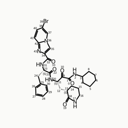 O=C(NC1CCCCC1)C(=O)[C@H](C[C@@H]1CCCNC1=O)NC(=O)[C@H](Cc1ccccc1)NC(=O)c1cn2cc(Br)ccc2n1